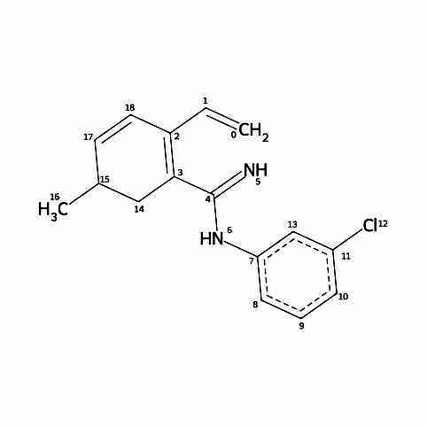 C=CC1=C(C(=N)Nc2cccc(Cl)c2)CC(C)C=C1